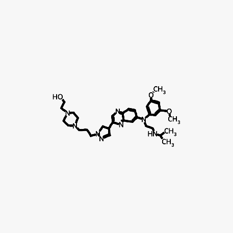 COc1cc(OC)cc(N(CCNC(C)C)c2ccc3ncc(C4C=NN(CCCN5CCN(CCO)CC5)C4)nc3c2)c1